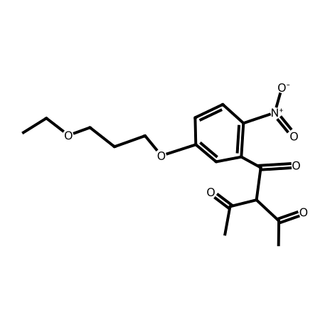 CCOCCCOc1ccc([N+](=O)[O-])c(C(=O)C(C(C)=O)C(C)=O)c1